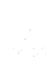 CC(=O)O.Cc1cc(C(=O)NCc2ccc(C(=N)N)cc2OCC(N)=O)no1